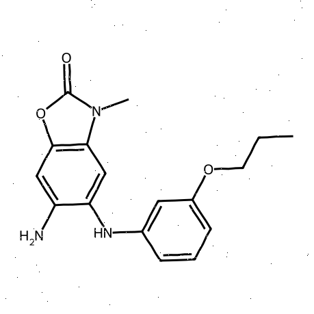 CCCOc1cccc(Nc2cc3c(cc2N)oc(=O)n3C)c1